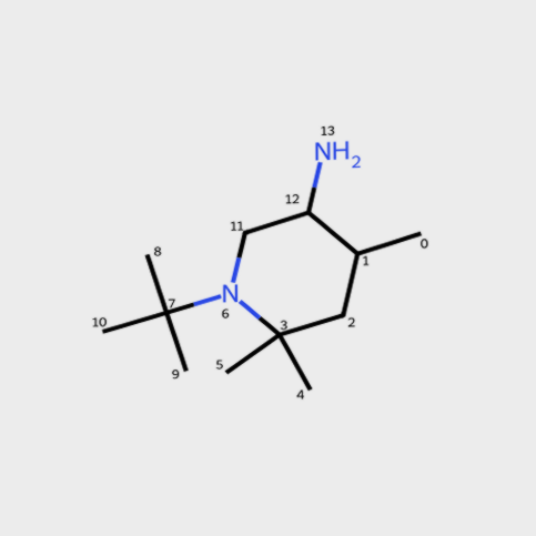 CC1CC(C)(C)N(C(C)(C)C)CC1N